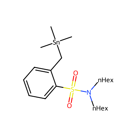 CCCCCCN(CCCCCC)S(=O)(=O)c1ccccc1[CH2][Sn]([CH3])([CH3])[CH3]